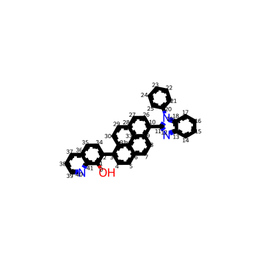 Oc1c(-c2ccc3ccc4c(-c5nc6ccccc6n5-c5ccccc5)ccc5ccc2c3c54)ccc2cccnc12